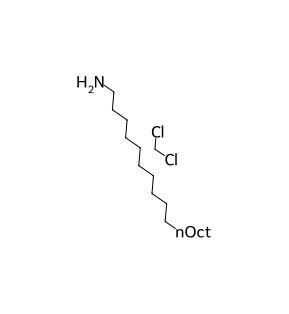 CCCCCCCCCCCCCCCCCCN.ClCCl